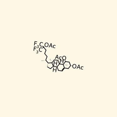 CC(=O)O[C@@H]1CC2=CC[C@H]3[C@@H]4CC[C@H]([C@H](C)CCCC(OC(C)=O)(C(F)(F)F)C(F)(F)F)[C@@]4(C)CC[C@@H]3[C@@]2(C)[C@@H](OC(C)=O)C1